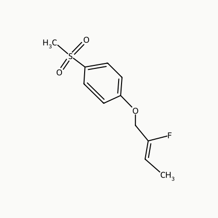 CC=C(F)COc1ccc(S(C)(=O)=O)cc1